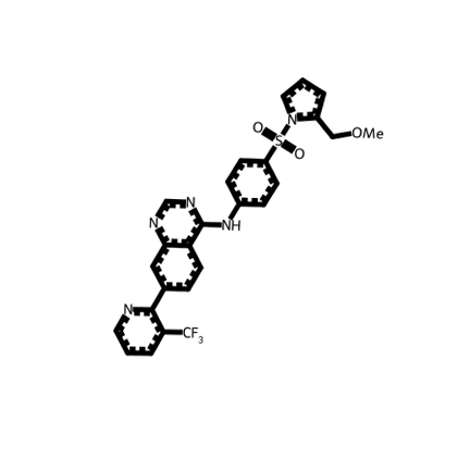 COCc1cccn1S(=O)(=O)c1ccc(Nc2ncnc3cc(-c4ncccc4C(F)(F)F)ccc23)cc1